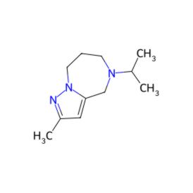 Cc1cc2n(n1)CCCN(C(C)C)C2